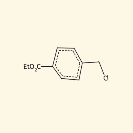 [CH2]COC(=O)c1ccc(CCl)cc1